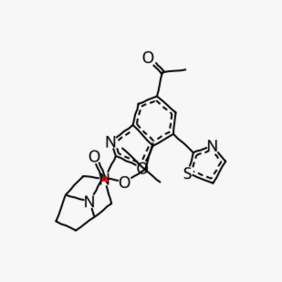 CC(=O)c1cc(-c2nccs2)c2oc(N3CC4CCC(C3)N4C(=O)OC(C)(C)C)nc2c1